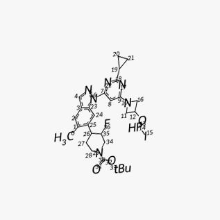 Cc1cc2cnn(-c3cc(N4CC(OPI)C4)nc(C4CC4)n3)c2cc1C1CCN(C(=O)OC(C)(C)C)CC1F